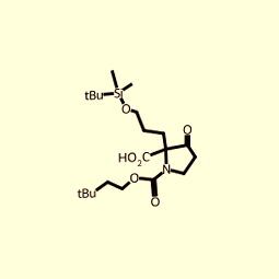 CC(C)(C)CCOC(=O)N1CCC(=O)C1(CCCO[Si](C)(C)C(C)(C)C)C(=O)O